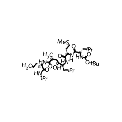 C=CC[C@H](NC(=O)[C@H](C)C[C@H](O)[C@H](CC(C)C)NC(=O)[C@H](CCSC)NC(=O)[C@H](CC(C)C)NC(=O)OC(C)(C)C)C(=O)NC(C)C